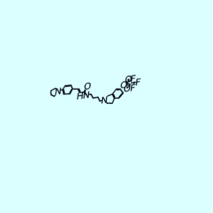 O=C(/C=C/c1ccc(N2CCCC2)cc1)NCCCCN1CCc2ccc(OS(=O)(=O)C(F)(F)F)cc2C1